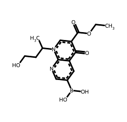 CCOC(=O)c1cn(C(C)CCO)c2ncc(B(O)O)cc2c1=O